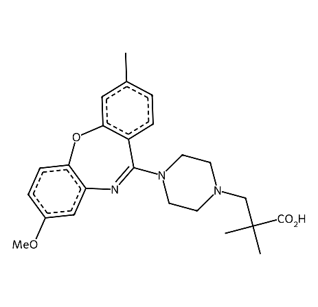 COc1ccc2c(c1)N=C(N1CCN(CC(C)(C)C(=O)O)CC1)c1ccc(C)cc1O2